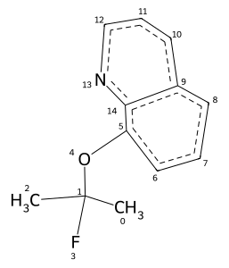 CC(C)(F)Oc1cccc2cccnc12